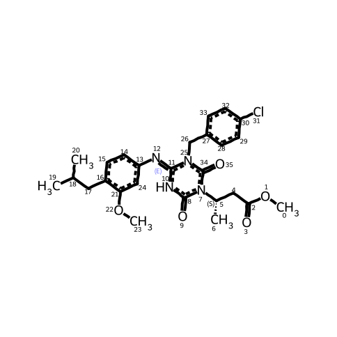 COC(=O)C[C@H](C)n1c(=O)[nH]/c(=N\c2ccc(CC(C)C)c(OC)c2)n(Cc2ccc(Cl)cc2)c1=O